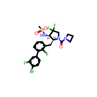 CS(=O)(=O)N[C@@H]1[C@H](Cc2cccc(-c3ccc(Br)c(F)c3)c2F)N(C(=O)N2CCC2)CC1(F)F